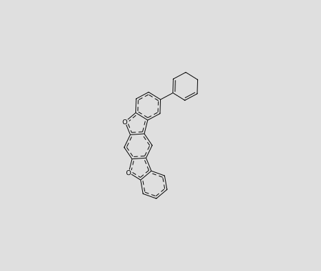 C1=CC(c2ccc3oc4cc5oc6ccccc6c5cc4c3c2)=CCC1